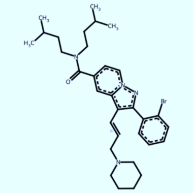 CC(C)CCN(CCC(C)C)C(=O)c1ccn2nc(-c3ccccc3Br)c(/C=C/CN3CCCCC3)c2c1